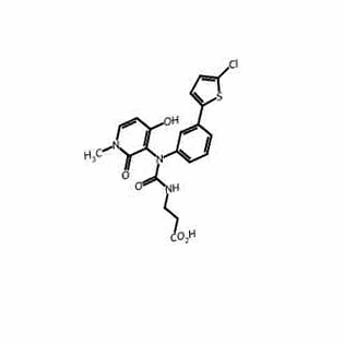 Cn1ccc(O)c(N(C(=O)NCCC(=O)O)c2cccc(-c3ccc(Cl)s3)c2)c1=O